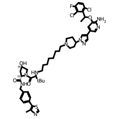 Cc1ncsc1-c1ccc(CNC(=O)[C@@H]2C[C@@H](O)CN2C(=O)C(NCCCCCCCCN2CCC(n3cc(-c4cnc(N)c(OC(C)c5c(Cl)ccc(F)c5Cl)c4)cn3)CC2)C(C)(C)C)cc1